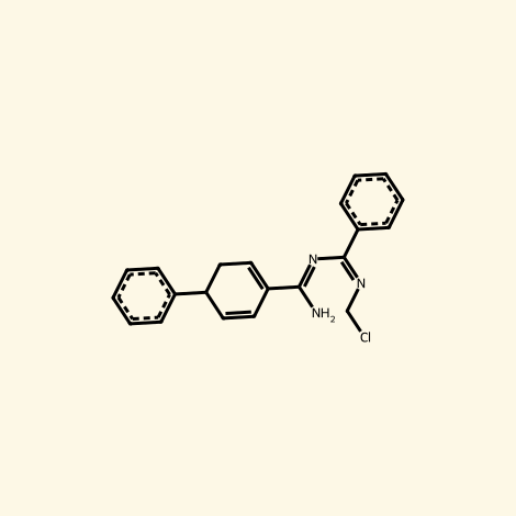 N/C(=N\C(=N/CCl)c1ccccc1)C1=CCC(c2ccccc2)C=C1